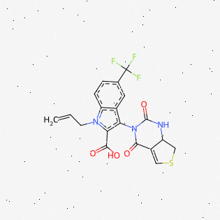 C=CCn1c(C(=O)O)c(N2C(=O)NC3CSC=C3C2=O)c2cc(C(F)(F)F)ccc21